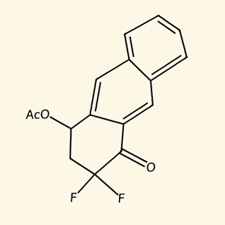 CC(=O)OC1CC(F)(F)C(=O)c2cc3ccccc3cc21